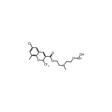 Cc1cc(Cl)cc2c1OC(C(F)(F)F)C(C(=O)OCCN(C)CCONO)=C2